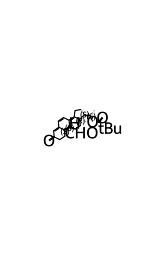 C[C@H](OC(=O)C(C)(C)C)[C@H]1CCC2=C3C=CC4=CC(=O)CC[C@]4(C=O)[C@H]3CC[C@@]21C